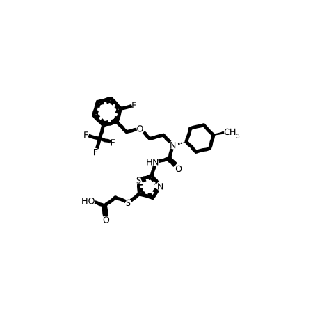 C[C@H]1CC[C@H](N(CCOCc2c(F)cccc2C(F)(F)F)C(=O)Nc2ncc(SCC(=O)O)s2)CC1